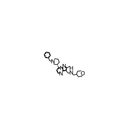 Cc1nn2c([C@@H]3CCCN(Cc4ccccc4)C3)ccnc2c1CNCC1CCOCC1